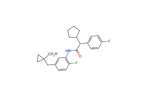 O=C(Nc1cc(CC2(C(=O)O)CC2)ccc1F)C(c1ccc(F)cc1)C1CCCC1